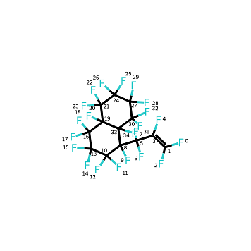 FC(F)=C(F)C(F)(F)C1(F)C(F)(F)C(F)(F)C(F)(F)C2(F)C(F)(F)C(F)(F)C(F)(F)C(F)(F)C12F